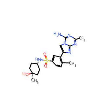 Cc1ccc(S(=O)(=O)N[C@H]2CC[C@](C)(O)CC2)cc1-c1cn2c(N)nc(C(F)(F)F)nc2n1